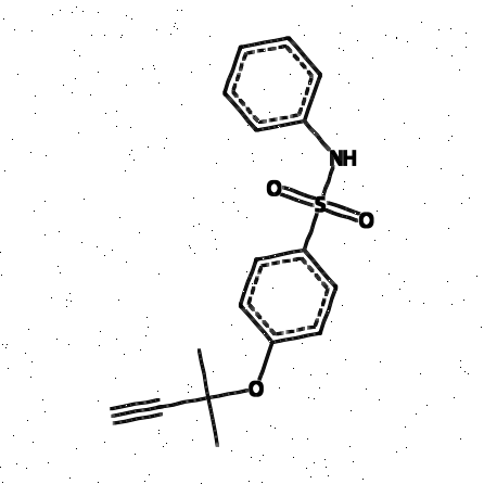 C#CC(C)(C)Oc1ccc(S(=O)(=O)Nc2ccccc2)cc1